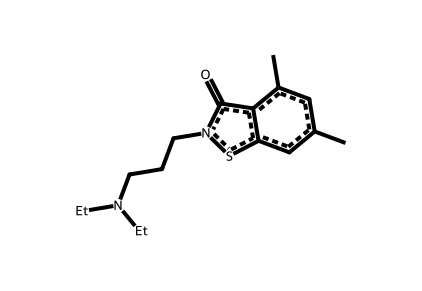 CCN(CC)CCCn1sc2cc(C)cc(C)c2c1=O